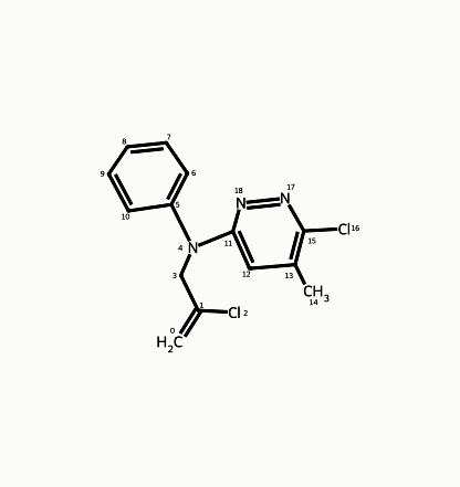 C=C(Cl)CN(c1ccccc1)c1cc(C)c(Cl)nn1